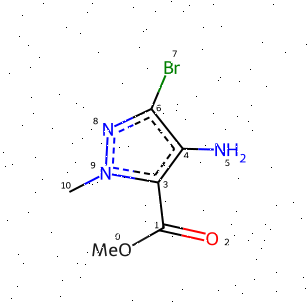 COC(=O)c1c(N)c(Br)nn1C